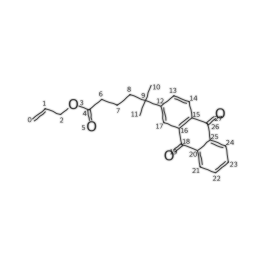 C=CCOC(=O)CCCC(C)(C)c1ccc2c(c1)C(=O)c1ccccc1C2=O